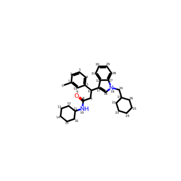 Cc1cccc(C(CC(=O)NC2CCCCC2)c2cn(CC3CCCCC3)c3ccccc23)c1